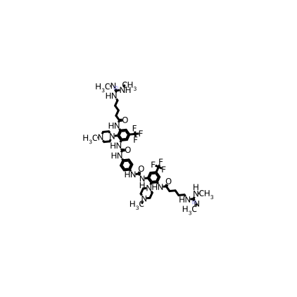 C/N=C(/NC)NCCCCC(=O)Nc1cc(C(F)(F)F)cc(NC(=O)Nc2ccc(NC(=O)Nc3cc(C(F)(F)F)cc(NC(=O)CCCCN/C(=N\C)NC)c3N3CCN(C)CC3)cc2)c1N1CCN(C)CC1